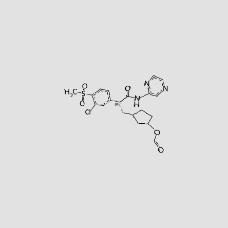 CS(=O)(=O)c1ccc([C@@H](CC2CCC(OC=O)C2)C(=O)Nc2cnccn2)cc1Cl